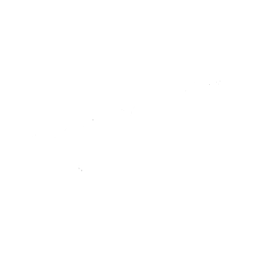 COCCOCCOCCOc1cc([N+](=O)[O-])cc(C(F)(F)F)c1